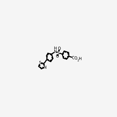 O=C(O)c1ccc(S(=O)(=O)Nc2ccc(-c3nccs3)cc2)cc1